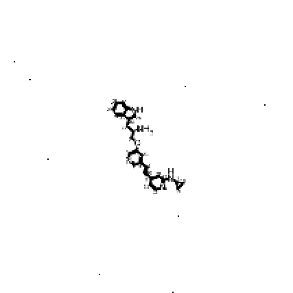 N[C@@H](COc1cncc(C=Cc2ccnc(NC3CC3)c2)c1)Cc1c[nH]c2ccccc12